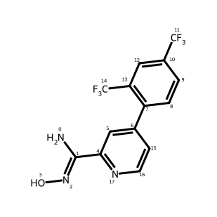 NC(=NO)c1cc(-c2ccc(C(F)(F)F)cc2C(F)(F)F)ccn1